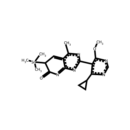 COc1ncnc(C2CC2)c1-c1nc(C)c2c(n1)=NC(=O)[CH]([Sn]([CH3])([CH3])[CH3])C=2